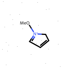 CO[N+]1=CC=CC1